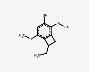 COc1cc(S)c(OC)c2c1C(CN)C2